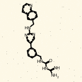 N=C(N)NC(=O)NCc1cccc(-c2cnc(NCc3ccc4ncccc4c3)nc2)c1